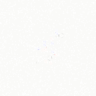 CNC(=O)[C@H](CCCC1CCCCC1)NC(=O)C1CN(C(=O)Cc2c[nH]c3cc(Cl)ccc23)CC2CN(C(=O)c3ccc(OC(C)C)c(OC)c3)CC21